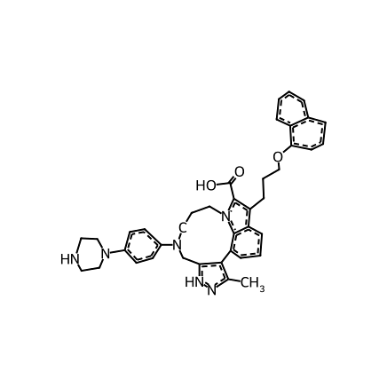 Cc1n[nH]c2c1-c1cccc3c(CCCOc4cccc5ccccc45)c(C(=O)O)n(c13)CCCN(c1ccc(N3CCNCC3)cc1)C2